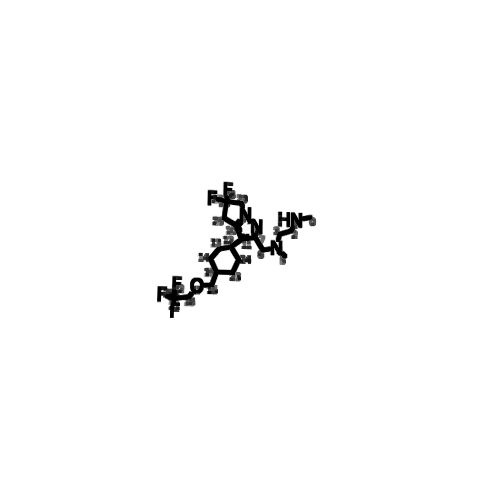 CNCCN(C)Cc1nn2c(c1C1CCC(COCC(F)(F)F)CC1)CC(F)(F)C2